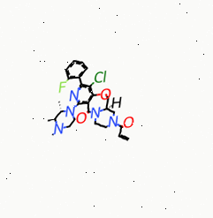 C=CC(=O)N1CCN2C(=O)c3c(N4CCN(C)[C@@H](C)[C@@H]4C)nc(-c4ccccc4F)c(Cl)c3OC[C@H]2C1